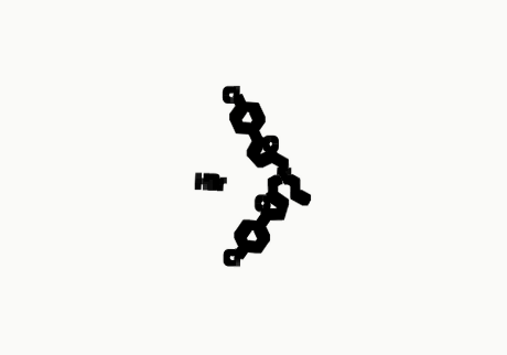 Br.C=CCN(Cc1ccc(-c2ccc(Cl)cc2)o1)Cc1ccc(-c2ccc(Cl)cc2)o1